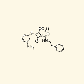 Nc1cccc(S[C@H]2C(=O)N(C(=O)NCCc3ccccc3)C2C(=O)O)c1